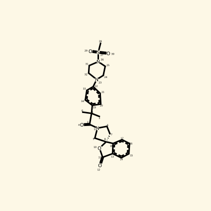 CC(C)(C(=O)N1CC[C@@]2(C1)OC(=O)c1ccccc12)c1ccc(N2CCN(S(C)(=O)=O)CC2)cc1